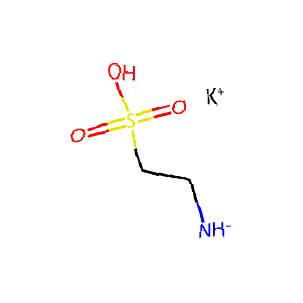 [K+].[NH-]CCS(=O)(=O)O